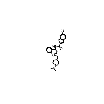 CC(C)N1CCC(COCC(NC(=O)c2cc3ccc(Cl)cc3s2)c2ccccc2Cl)CC1